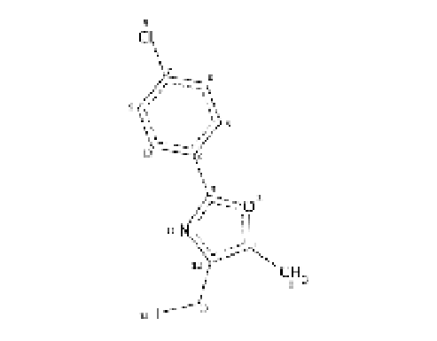 Cc1oc(-c2ccc(Cl)cc2)nc1CI